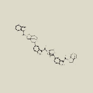 O=C(c1n[nH]c2ccccc12)N1CC2CCN3CC1C2CC3c1ccc2[nH]nc(C(=O)N3C[C@H]4C[N@@]5CC3C4CC5c3ccc4[nH]nc(C(=O)N5C[C@@H]6C[N@@]7CCC6C5C7)c4c3)c2c1